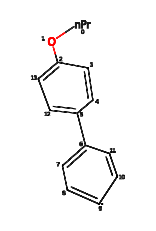 CCCOc1ccc(-c2cc[c]cc2)cc1